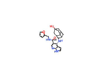 O=C(NCc1ccco1)c1cnc2[nH]ccc2c1N[C@H]1C2CC3CC1C[C@@](O)(C3)C2